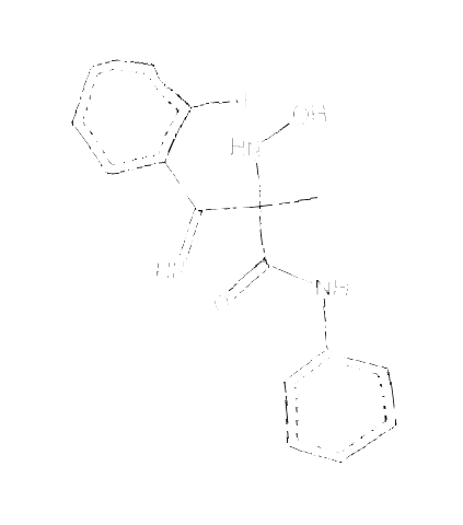 CC(NO)(C(=N)c1ccccc1F)C(=O)Nc1ccccc1